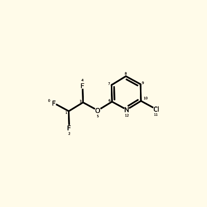 FC(F)C(F)Oc1cccc(Cl)n1